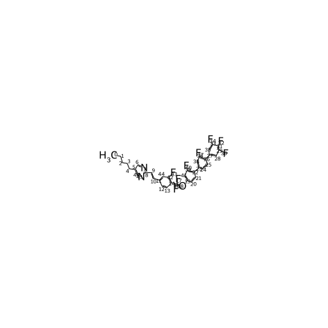 CCCCCc1cnc(/C=C/c2ccc(C(F)(F)Oc3ccc(-c4ccc(-c5cc(F)c(F)c(F)c5)c(F)c4)c(F)c3)c(F)c2)nc1